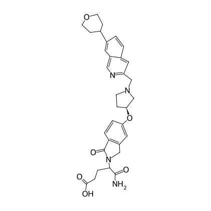 NC(=O)C(CCC(=O)O)N1Cc2cc(O[C@H]3CCN(Cc4cc5ccc(C6CCOCC6)cc5cn4)C3)ccc2C1=O